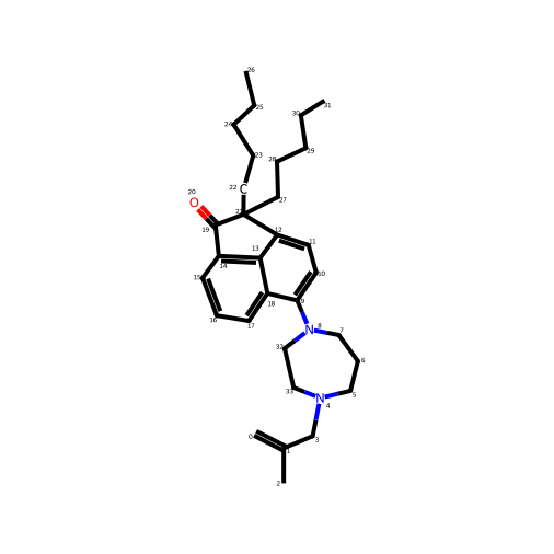 C=C(C)CN1CCCN(c2ccc3c4c(cccc24)C(=O)C3(CCCCC)CCCCC)CC1